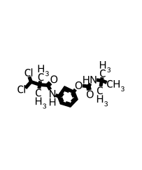 CC(C)(C)NC(=O)Oc1cccc(NC(=O)C(C)(C)C(Cl)Cl)c1